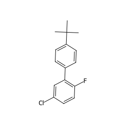 CC(C)(C)c1ccc(-c2cc(Cl)ccc2F)cc1